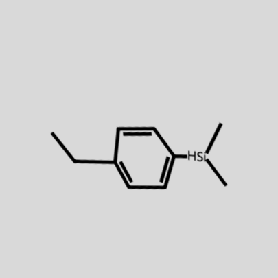 CCc1ccc([SiH](C)C)cc1